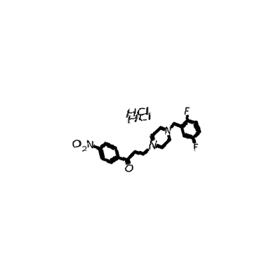 Cl.Cl.O=C(CCN1CCN(Cc2cc(F)ccc2F)CC1)c1ccc([N+](=O)[O-])cc1